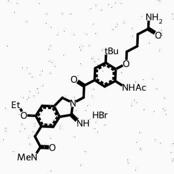 Br.CCOc1cc2c(cc1CC(=O)NC)C(=N)N(CC(=O)c1cc(NC(C)=O)c(OCCCC(N)=O)c(C(C)(C)C)c1)C2